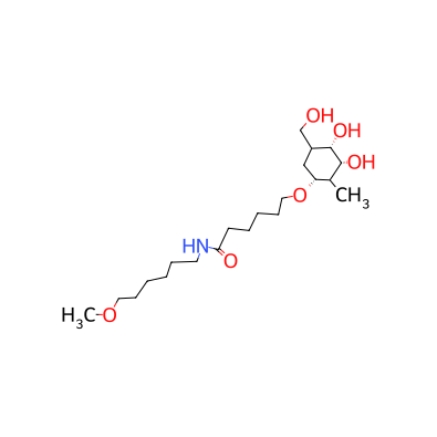 COCCCCCCNC(=O)CCCCCO[C@@H]1CC(CO)[C@H](O)[C@H](O)C1C